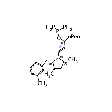 C=C1C[C@@H](C)[C@H](/C=C/[C@H](CCCCC)OP(P)P)[C@H]1Cc1cccc(C)c1